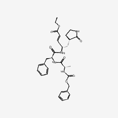 CCOC(=O)/C=C/[C@H](C[C@@H]1CCNC1=O)NC(=O)[C@H](Cc1ccccc1)NC(=O)[C@H](C)NC(=O)OCc1ccccc1